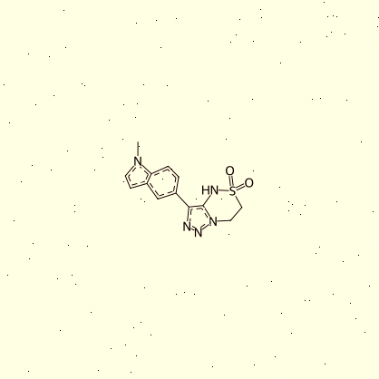 Cn1ccc2cc(-c3nnn4c3NS(=O)(=O)CC4)ccc21